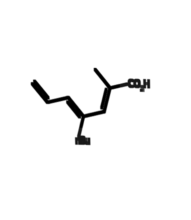 C=CC=C(C=C(C)C(=O)O)CCCC